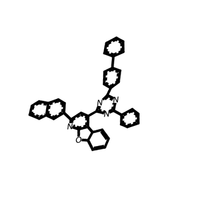 C1=CC2Oc3nc(-c4ccc5ccccc5c4)cc(-c4nc(-c5ccccc5)nc(-c5ccc(-c6ccccc6)cc5)n4)c3C2C=C1